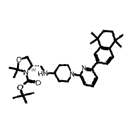 CC(C)(C)OC(=O)N1[C@@H](CNC2CCN(c3cccc(-c4ccc5c(c4)C(C)(C)CCC5(C)C)n3)CC2)COC1(C)C